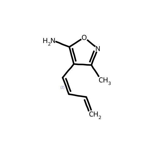 C=C/C=C\c1c(C)noc1N